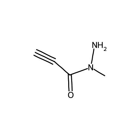 C#CC(=O)N(C)N